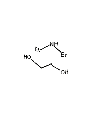 CCNCC.OCCO